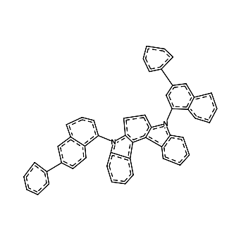 c1ccc(-c2ccc3c(-n4c5ccccc5c5c6c7ccccc7n(-c7cc(-c8ccccc8)cc8ccccc78)c6ccc54)cccc3c2)cc1